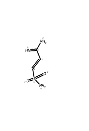 N=C(N)C=CS(N)(=O)=O